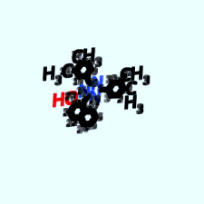 Cc1ccc(-c2nc(-c3ccc(C)c(C)c3)nc(-c3c(O)ccc4ccccc34)n2)cc1C